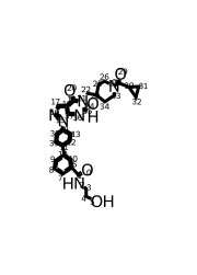 O=C(NCCO)c1cccc(-c2ccc(-n3ncc4c(=O)n(CC5(O)CCN(C(=O)C6CC6)CC5)cnc43)cc2)c1